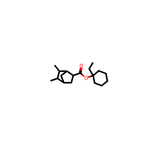 CCC1(OC(=O)C2CC3CC2C(C)C3C)CCCCC1